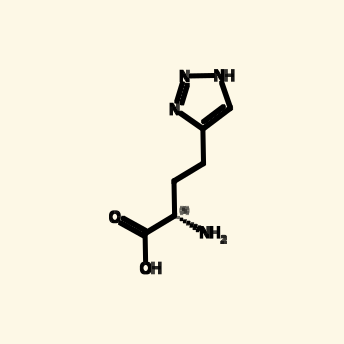 N[C@@H](CCc1c[nH]nn1)C(=O)O